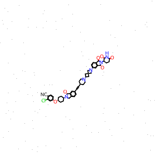 N#Cc1ccc(O[C@H]2CC[C@H](N3Cc4ccc(C#CC5CCN(C6CC7(C6)CN(c6ccc8c(c6)C(=O)N(C6CCC(=O)NC6=O)C8=O)C7)CC5)cc4C3=O)CC2)cc1Cl